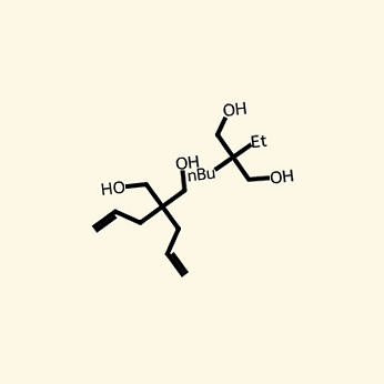 C=CCC(CO)(CO)CC=C.CCCCC(CC)(CO)CO